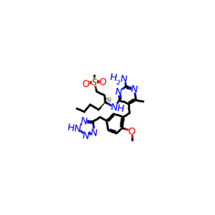 CCCC[C@@H](CCS(C)(=O)=O)Nc1nc(N)nc(C)c1Cc1cc(Cc2nn[nH]n2)ccc1OC